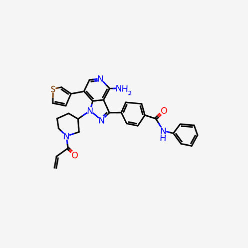 C=CC(=O)N1CCCC(n2nc(-c3ccc(C(=O)Nc4ccccc4)cc3)c3c(N)ncc(-c4ccsc4)c32)C1